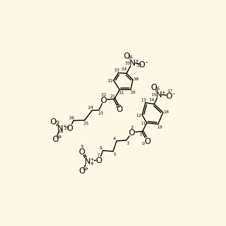 O=C(OCCCCO[N+](=O)[O-])c1ccc([N+](=O)[O-])cc1.O=C(OCCCCO[N+](=O)[O-])c1ccc([N+](=O)[O-])cc1